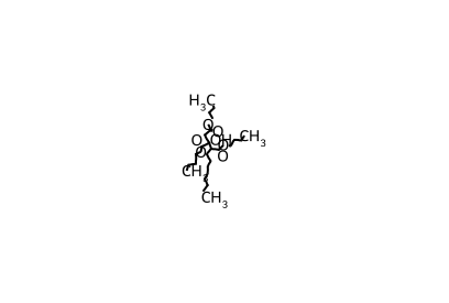 CCCCCCCCC(C(=O)OCCCC)C(O)(CC(=O)OCCCC)C(=O)OCCCC